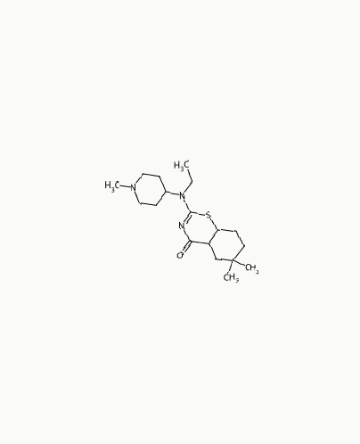 CCN(C1=NC(=O)C2CC(C)(C)CCC2S1)C1CCN(C)CC1